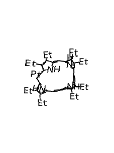 CCC1=C(CC)[C]2([Pt])Cc3[nH]c(c(CC)c3CC)C=c3[nH]c(c(CC)c3CC)=Cc3[nH]c(c(CC)c3CC)C=C1N2